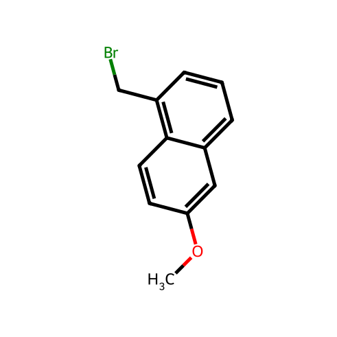 COc1ccc2c(CBr)cccc2c1